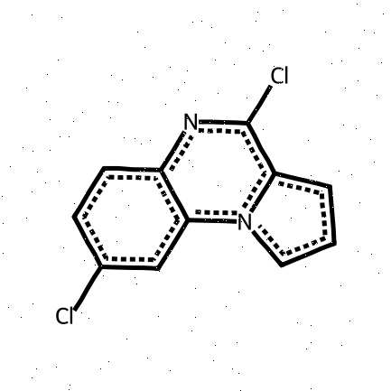 Clc1ccc2nc(Cl)c3cccn3c2c1